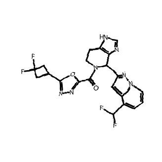 O=C(c1nnc(C2CC(F)(F)C2)o1)N1CCc2[nH]cnc2C1c1cc2c(C(F)F)cccn2n1